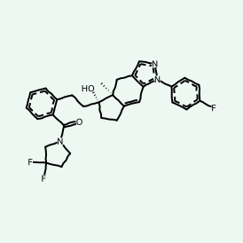 C[C@]12Cc3cnn(-c4ccc(F)cc4)c3C=C1CC[C@@]2(O)CCc1ccccc1C(=O)N1CCC(F)(F)C1